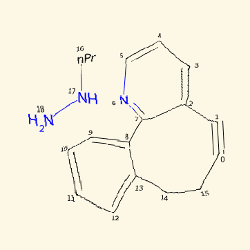 C1#Cc2cccnc2-c2ccccc2CC1.CCCNN